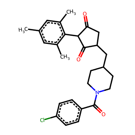 Cc1cc(C)c(C2C(=O)CC(CC3CCN(C(=O)c4ccc(Cl)cc4)CC3)C2=O)c(C)c1